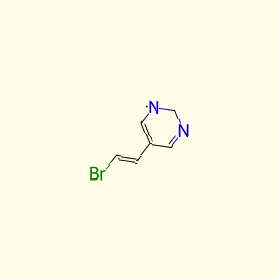 Br/C=C/C1=C[N]CN=C1